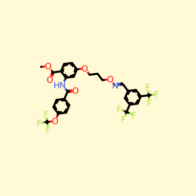 COC(=O)c1ccc(OCCCON=Cc2cc(C(F)(F)F)cc(C(F)(F)F)c2)cc1NC(=O)c1ccc(OC(F)(F)F)cc1